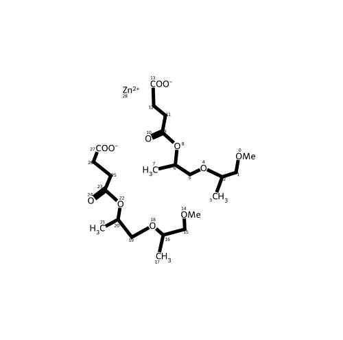 COCC(C)OCC(C)OC(=O)CCC(=O)[O-].COCC(C)OCC(C)OC(=O)CCC(=O)[O-].[Zn+2]